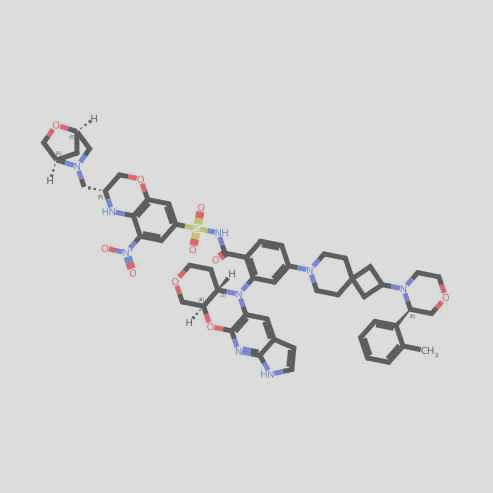 Cc1ccccc1[C@@H]1COCCN1C1CC2(CCN(c3ccc(C(=O)NS(=O)(=O)c4cc5c(c([N+](=O)[O-])c4)N[C@H](CN4C[C@H]6C[C@@H]4CO6)CO5)c(N4c5cc6cc[nH]c6nc5O[C@H]5COCC[C@@H]54)c3)CC2)C1